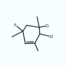 CC1=CC(C)(F)CC(C)(Cl)C1Cl